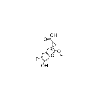 CCOC(=O)[C@@]1(Cc2ccc(O)c(F)c2)CC1C(=O)O